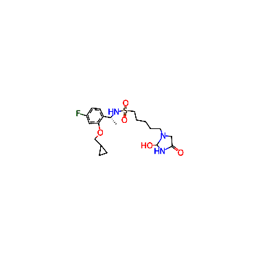 C[C@@H](NS(=O)(=O)CCCCCN1CC(=O)NC1O)c1ccc(F)cc1OCC1CC1